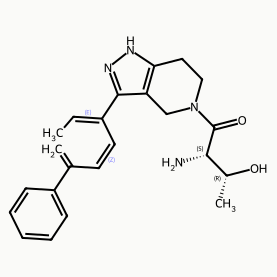 C=C(/C=C\C(=C/C)c1n[nH]c2c1CN(C(=O)[C@@H](N)[C@@H](C)O)CC2)c1ccccc1